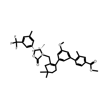 COC(=O)c1ccc(-c2cc(OC)cc(C3=C(CN4C(=O)O[C@H](c5cc(C)cc(C(F)(F)F)c5)[C@@H]4C)CC(C)(C)CC3)c2)c(C)c1